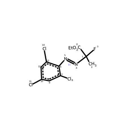 CCOC(=O)C(C)(F)/N=N/c1c(Cl)cc(Cl)cc1Cl